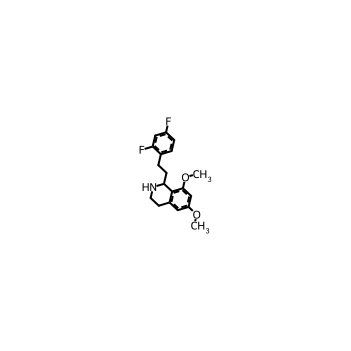 COc1cc2c(c(OC)c1)C(CCc1ccc(F)cc1F)NCC2